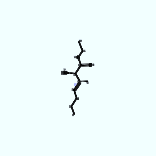 CCC/C=C(\C)C(O)C(=O)OCC